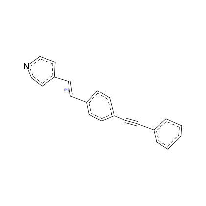 C(#Cc1ccc(/C=C/c2ccncc2)cc1)c1ccccc1